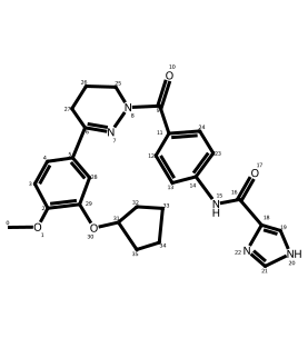 COc1ccc(C2=NN(C(=O)c3ccc(NC(=O)c4c[nH]cn4)cc3)CCC2)cc1OC1CCCC1